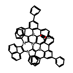 CC(C)(C)c1cc2c3c(c1)B(c1c(-c4ccccc4)cc(-c4ccccc4)cc1-c1ccccc1)c1c4ccccc4n4c5c6cccc7cccc(c76)c5n5c6ccccc6c(c5n-3c14)B2c1c(-c2ccccc2)cc(-c2ccccc2)cc1-c1ccccc1